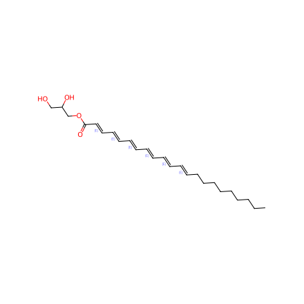 CCCCCCCCC/C=C/C=C/C=C/C=C/C=C/C=C/C(=O)OCC(O)CO